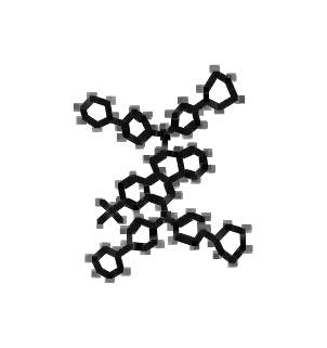 CC(C)(C)c1ccc2c(c1)c(N(c1ccc(C3CCCCC3)cc1)c1ccc(C3CCCCC3)cc1)cc1c3ccccc3c(N(c3ccc(C4CCCCC4)cc3)c3ccc(C4CCCCC4)cc3)cc21